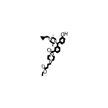 CCOC(=O)CCCN1CCN(C(=O)c2cccc([C@H](c3cccc(O)c3)N3C[C@@H](C)N(CC4CC4)C[C@@H]3C)c2)CC1